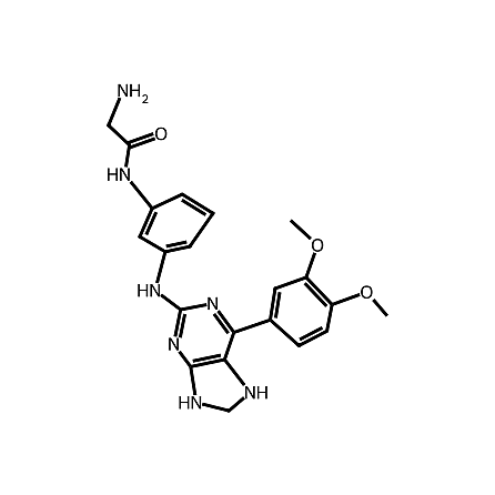 COc1ccc(-c2nc(Nc3cccc(NC(=O)CN)c3)nc3c2NCN3)cc1OC